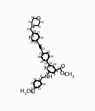 COC(=O)c1cc(NCc2ccc(OC)cc2)nc(-c2ccc(C#Cc3ccc(CN4CCOCC4)nc3)cc2)c1